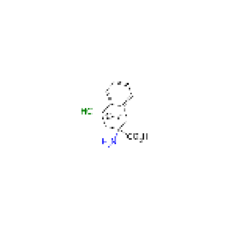 Cl.NC1(C(=O)O)CC2CCC1c1ccccc12